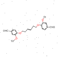 CCOc1cc(C=O)ccc1OCCC=CCCOc1ccc(C=O)cc1OCC